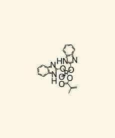 C=C(C)C(=O)OP(=O)(Oc1nc2ccccc2[nH]1)Oc1nc2ccccc2[nH]1